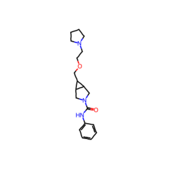 O=C(Nc1ccccc1)N1CC2C(COCCN3CCCC3)C2C1